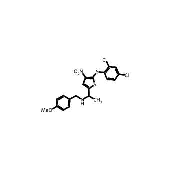 COc1ccc(CNC(C)c2cc([N+](=O)[O-])c(Sc3ccc(Cl)cc3Cl)s2)cc1